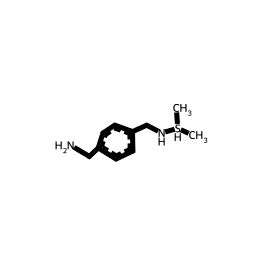 C[SH](C)NCc1ccc(CN)cc1